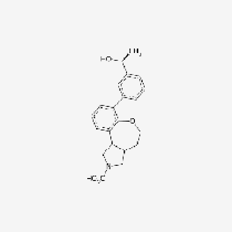 C[C@H](O)c1cccc(-c2cccc3c2OCCC2CN(C(=O)O)CC32)c1